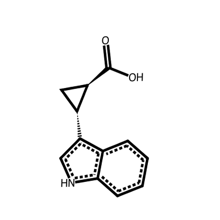 O=C(O)[C@@H]1C[C@H]1c1c[nH]c2ccccc12